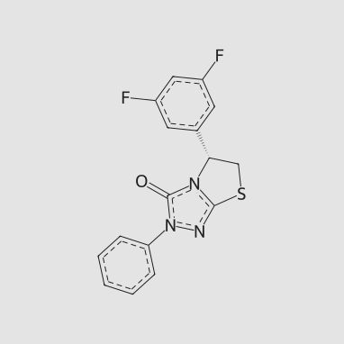 O=c1n(-c2ccccc2)nc2n1[C@H](c1cc(F)cc(F)c1)CS2